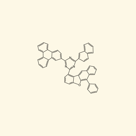 c1ccc(-c2c3ccccc3cc3c2oc2cccc(-c4nc(-c5ccc6ccccc6c5)nc(-c5ccc6c7ccccc7c7ccccc7c6c5)n4)c23)cc1